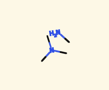 CN.CN(C)C